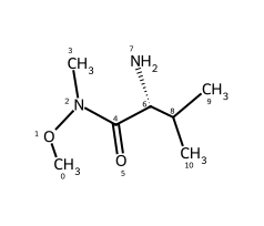 CON(C)C(=O)[C@H](N)C(C)C